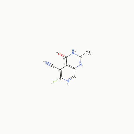 Cc1nc2cnc(F)c(C#N)c2c(=O)[nH]1